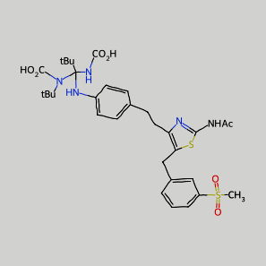 CC(=O)Nc1nc(CCc2ccc(NC(NC(=O)O)(N(C(=O)O)C(C)(C)C)C(C)(C)C)cc2)c(Cc2cccc(S(C)(=O)=O)c2)s1